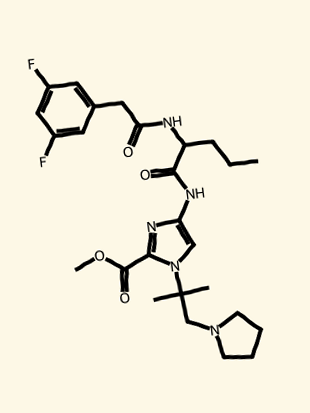 CCCC(NC(=O)Cc1cc(F)cc(F)c1)C(=O)Nc1cn(C(C)(C)CN2CCCC2)c(C(=O)OC)n1